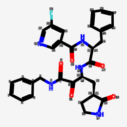 O=C(NCc1ccccc1)C(=O)[C@H](C[C@@H]1CCNC1=O)NC(=O)[C@H](Cc1ccccc1)NC(=O)c1cncc(F)c1